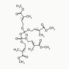 COC(=O)/C(C)=C/COP(=O)(OC/C=C(\C)C(=O)OC)OP(=O)(OC/C=C(\C)C(=O)OC)OC/C=C(\C)C(=O)OC